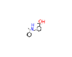 C[C@@H](NCc1cccc(C(C)(C)O)c1)c1ccccc1